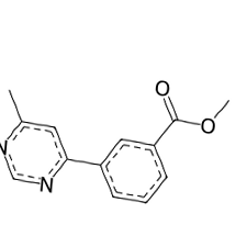 COC(=O)c1cccc(-c2cc(C)ncn2)c1